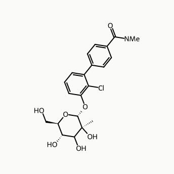 CNC(=O)c1ccc(-c2cccc(O[C@H]3O[C@H](CO)[C@@H](O)C(O)[C@]3(C)O)c2Cl)cc1